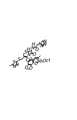 CCCCCCCC[S+]([O-])C(C)Cc1ccc2c(c1)OCO2.Cc1nnc(SCC2=C(C(=O)O)N3C(=O)[C@@H](NC(=O)Cn4cnnn4)[C@H]3SC2)s1